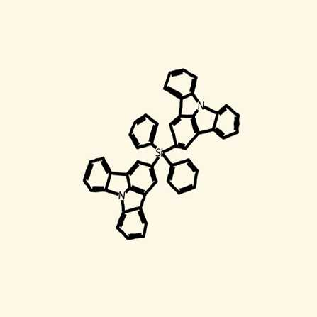 c1ccc([Si](c2ccccc2)(c2cc3c4ccccc4n4c5ccccc5c(c2)c34)c2cc3c4ccccc4n4c5ccccc5c(c2)c34)cc1